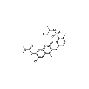 Cc1c(Cc2ccc(F)c(S(=O)(=O)NC(C)N)c2)c(=O)oc2cc(OC(=O)N(C)C)c(Cl)cc12